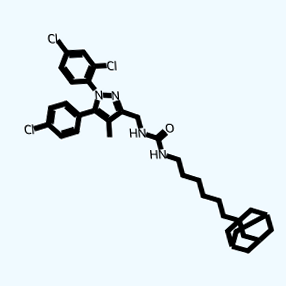 Cc1c(CNC(=O)NCCCCCCC23CC4CC(CC(C4)C2)C3)nn(-c2ccc(Cl)cc2Cl)c1-c1ccc(Cl)cc1